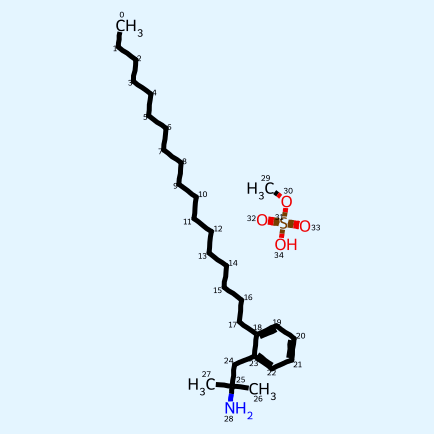 CCCCCCCCCCCCCCCCCCc1ccccc1CC(C)(C)N.COS(=O)(=O)O